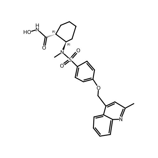 Cc1cc(COc2ccc(S(=O)(=O)N(C)[C@@H]3CCCC[C@H]3C(=O)NO)cc2)c2ccccc2n1